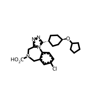 O=C(O)N1Cc2cc(Cl)ccc2-n2c(nnc2[C@H]2CC[C@H](OC3CCCC3)CC2)C1